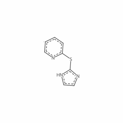 [c]1ccc(Sc2ncc[nH]2)nc1